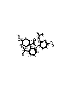 COc1ccc(NC(=O)C2(c3ccccc3C(C)C)CCC(OC)CC2)c(OC(F)F)n1